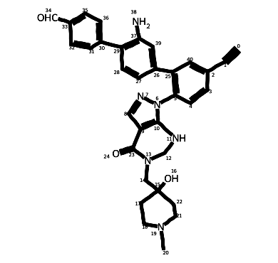 C#Cc1ccc(-n2ncc3c2NCN(CC2(O)CCN(C)CC2)C3=O)c(-c2ccc(-c3ccc(C=O)cc3)c(N)c2)c1